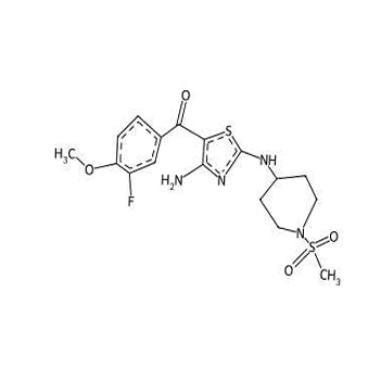 COc1ccc(C(=O)c2sc(NC3CCN(S(C)(=O)=O)CC3)nc2N)cc1F